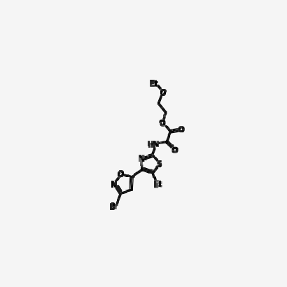 CCOCCOC(=O)C(=O)Nc1nc(-c2cc(Br)no2)c(CC)s1